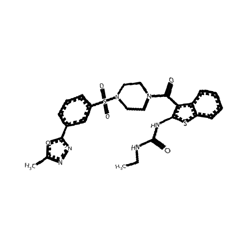 CCNC(=O)Nc1sc2ccccc2c1C(=O)N1CCN(S(=O)(=O)c2cccc(-c3nnc(C)o3)c2)CC1